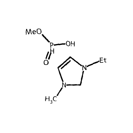 CCN1C=CN(C)C1.CO[PH](=O)O